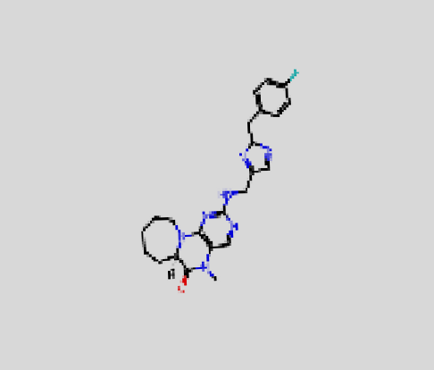 CN1C(=O)[C@H]2CCCCCN2c2nc(NCC3=NC(Cc4ccc(F)cc4)N=C3)ncc21